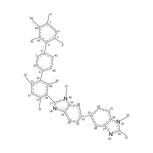 Cc1cc(C)c(-c2ccc(-c3c(C)cc(C)c(-c4nc5ccc(-c6ccc7c(c6)nc(C)n7C)cc5n4C)c3C)cc2)c(C)c1C